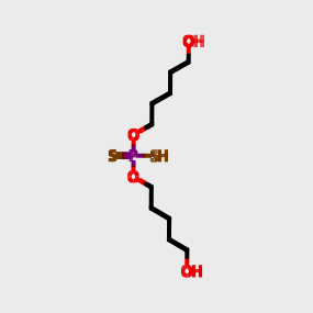 OCCCCCOP(=S)(S)OCCCCCO